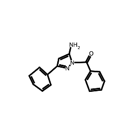 Nc1cc(-c2ccccc2)nn1C(=O)c1ccccc1